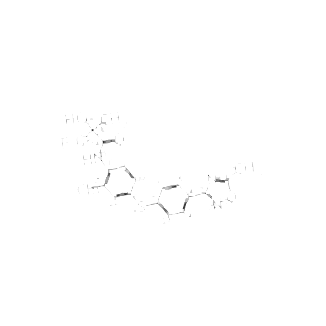 Cc1nc(-c2ccc(Sc3ccc(NC(=O)C(C)(O)C(F)(F)F)c(Cl)c3)cc2)no1